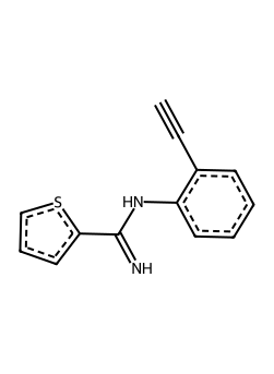 C#Cc1ccccc1NC(=N)c1cccs1